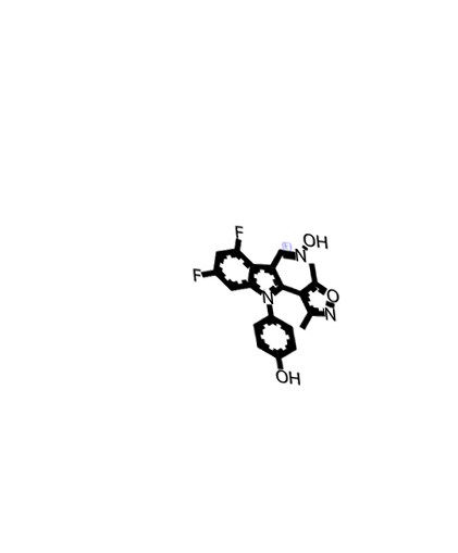 Cc1noc(C)c1-c1c(/C=N/O)c2c(F)cc(F)cc2n1-c1ccc(O)cc1